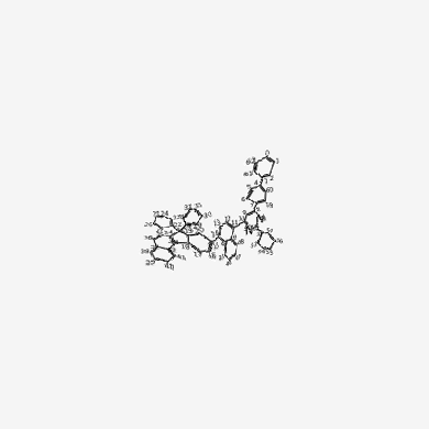 c1ccc(-c2ccc(-c3cc(-c4ccc(-c5ccc6c(c5)C(c5ccccc5)(c5ccccc5)c5ccc7ccccc7c5-6)c5ccccc45)nc(-c4ccccc4)n3)cc2)cc1